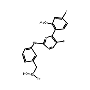 CC[SH](O)Cc1cccc(Nc2ncc(F)c(-c3ccc(F)cc3OC)n2)c1